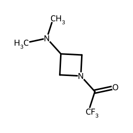 CN(C)C1CN(C(=O)C(F)(F)F)C1